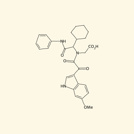 COc1ccc2c(C(=O)C(=O)N(CC(=O)O)C(C(=O)Nc3ccccc3)C3CCCCC3)c[nH]c2c1